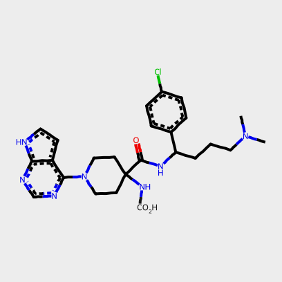 CN(C)CCCC(NC(=O)C1(NC(=O)O)CCN(c2ncnc3[nH]ccc23)CC1)c1ccc(Cl)cc1